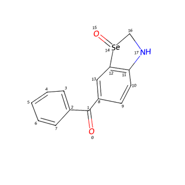 O=C(c1ccccc1)c1ccc2c(c1)[Se](=O)CN2